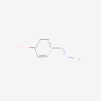 CN=Cc1ccc(O)cc1